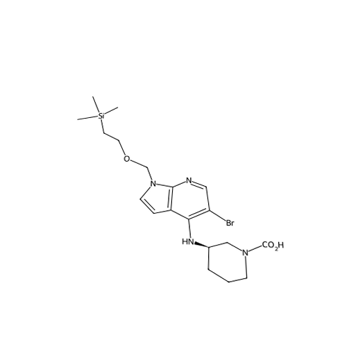 C[Si](C)(C)CCOCn1ccc2c(N[C@@H]3CCCN(C(=O)O)C3)c(Br)cnc21